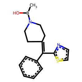 CB(O)N1CCC(=C(c2ccccc2)c2nccs2)CC1